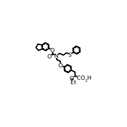 CCOC(Cc1ccc(OCCN(CCCSc2ccccc2)C(=O)Oc2ccc3c(c2)CCC3)cc1)C(=O)O